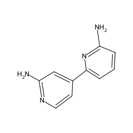 Nc1cc(-c2cccc(N)n2)ccn1